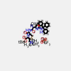 CON=C(C(=O)NC1C(=O)N2C(C(=O)OC(C)(C)C)=C(C[N+](C)(C)C)SCC12)c1csc(NC(c2ccccc2)(c2ccccc2)c2ccccc2)n1.O=S(=O)([O-])C(F)(F)F